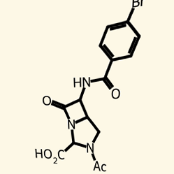 CC(=O)N1CC2C(NC(=O)c3ccc(Br)cc3)C(=O)N2C1C(=O)O